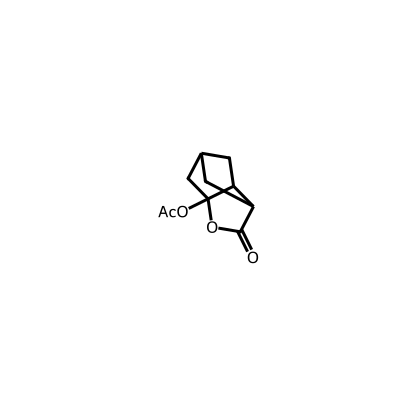 CC(=O)OC12CC3CC(C(=O)O1)C2C3